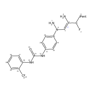 CCCC(C)C(F)/C(N)=C/N(N)c1ccc(NC(=O)Nc2ccccc2C(F)(F)F)cc1